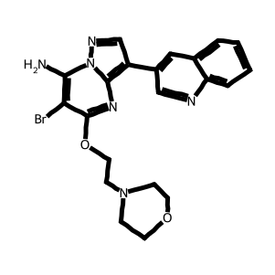 Nc1c(Br)c(OCCN2CCOCC2)nc2c(-c3cnc4ccccc4c3)cnn12